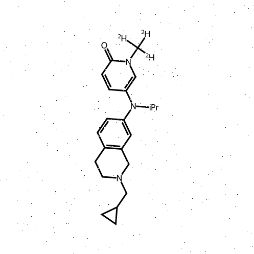 [2H]C([2H])([2H])n1cc(N(c2ccc3c(c2)CN(CC2CC2)CC3)C(C)C)ccc1=O